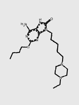 CCCCOc1nc(N)c2[nH]c(=O)n(CCCCCN3CCN(CC)CC3)c2n1